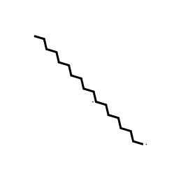 [CH2]CCCCCC[CH]CCCCCCCCCC